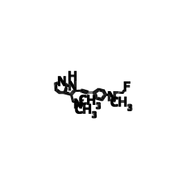 CN(C)Cc1c(C#Cc2ccc(N(C)CCF)cc2)[nH]c2ncccc12